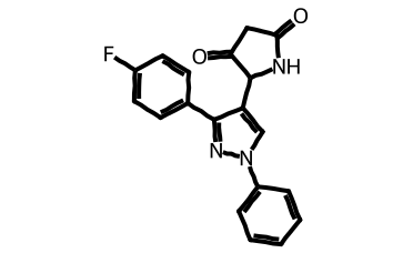 O=C1CC(=O)C(c2cn(-c3ccccc3)nc2-c2ccc(F)cc2)N1